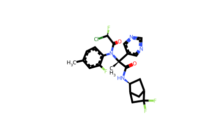 Cc1ccc(N(C(=O)[C@H](F)Cl)[C@@](C)(C(=O)N[C@H]2CC3CC2CC3(F)F)c2cncnc2)c(F)c1